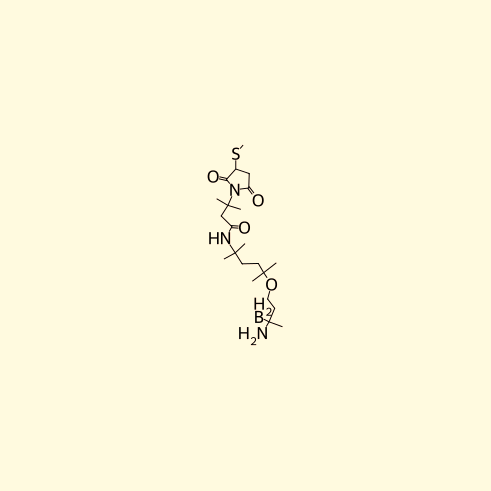 BC(C)(N)CCOC(C)(C)CCC(C)(C)NC(=O)CC(C)(C)N1C(=O)CC(SC)C1=O